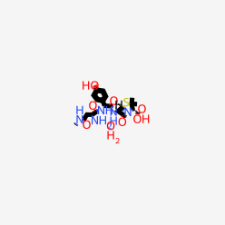 CNC(=O)CC(N)C(=O)NC(C(=O)N[C@@H]1C(=O)N2[C@@H]1SC(C)(C)[C@@H]2C(=O)O)c1ccc(O)cc1.O